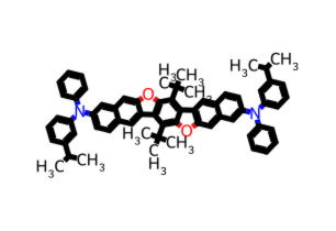 CC(C)c1cccc(N(c2ccccc2)c2ccc3cc4c(cc3c2)oc2c(C(C)(C)C)c3c(oc5cc6cc(N(c7ccccc7)c7cccc(C(C)C)c7)ccc6cc53)c(C(C)(C)C)c24)c1